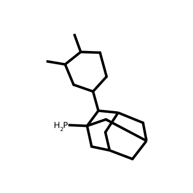 CC1CCC(C2C3CC4CC(C3)CC2(P)C4)CC1C